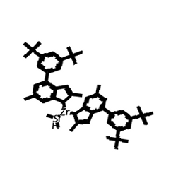 CC1=Cc2c(-c3cc(C(C)(C)C)cc(C(C)(C)C)c3)cc(C)cc2[CH]1[Zr]([CH]1C(C)=Cc2c(-c3cc(C(C)(C)C)cc(C(C)(C)C)c3)cc(C)cc21)[SiH](C)C